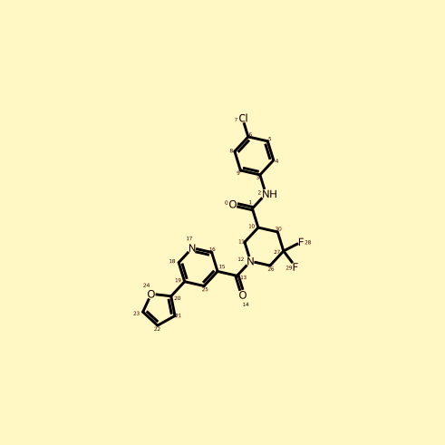 O=C(Nc1ccc(Cl)cc1)C1CN(C(=O)c2cncc(-c3ccco3)c2)CC(F)(F)C1